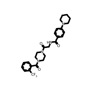 O=C(NCC(=O)N1CCN(C(=O)c2ccccc2C(F)(F)F)CC1)c1ccc(N2CCCCC2)cc1